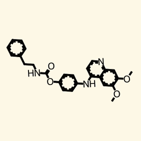 COc1cc2nccc(Nc3ccc(OC(=O)NCCc4ccccc4)cc3)c2cc1OC